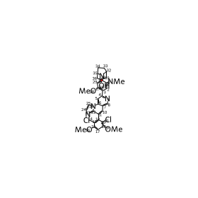 CNc1cc(-c2cc3c(cn2)cc(-c2c(Cl)c(OC)cc(OC)c2Cl)c2nccn23)c(OC)cc1N1C2CCC1CC(O)C2